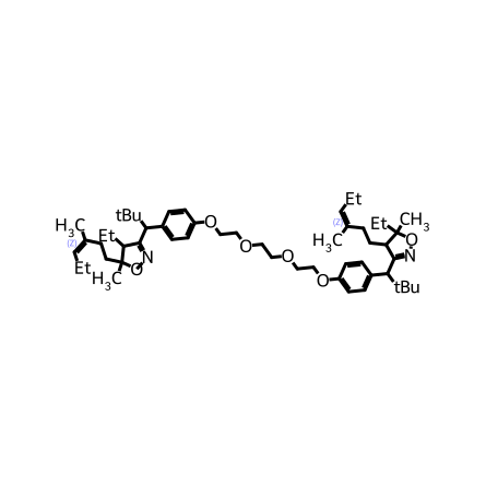 CC/C=C(/C)CCC1C(C(c2ccc(OCCOCCOCCOc3ccc(C(C4=NOC(C)(CC/C(C)=C\CC)C4CC)C(C)(C)C)cc3)cc2)C(C)(C)C)=NOC1(C)CC